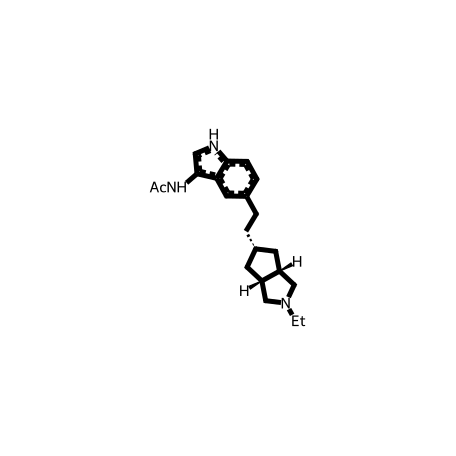 CCN1C[C@H]2C[C@@H](CCc3ccc4[nH]cc(NC(C)=O)c4c3)C[C@H]2C1